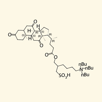 CCCC[N+](CCCC)(CCCC)CCCCC(COC(=O)CC[C@@H](C)[C@H]1CC[C@H]2[C@@H]3C(=O)CC4CC(=O)CC[C@]4(C)[C@H]3CC(=O)[C@]12C)CS(=O)(=O)O